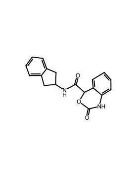 O=C1Nc2ccccc2C(C(=O)NC2Cc3ccccc3C2)O1